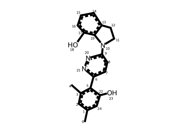 Cc1cc(C)c(-c2ccc(N3CCc4cccc(O)c43)nn2)c(O)c1